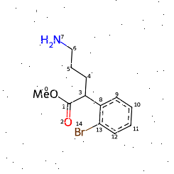 COC(=O)C(CCCN)c1ccccc1Br